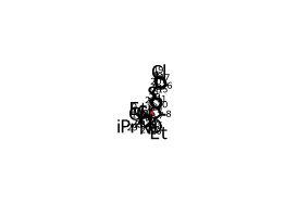 CCOC1=N[C@](C)(CC(C)c2ccc(Sc3cccc(Cl)c3)cc2Cl)C(OCC)=N[C@H]1C(C)C